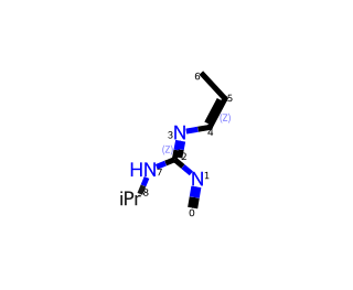 C=N/C(=N\C=C/C)NC(C)C